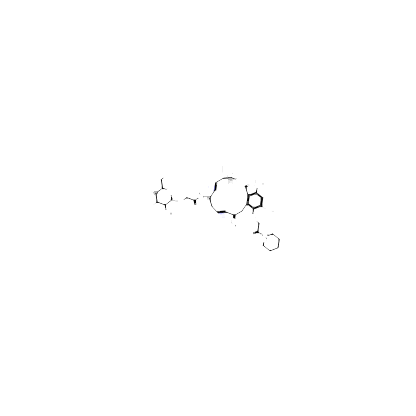 C[C@@H]1C/C=C/[C@H](NC(=O)CS[C@@H]2OC(CO)[C@@H](O)C(O)C2O)C/C=C/C(=N)Cc2c(OCC(=O)N3CCCCC3)c(O)cc(O)c2C(=O)O1